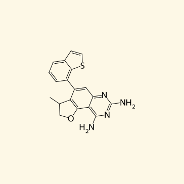 CC1COc2c1c(-c1cccc3ccsc13)cc1nc(N)nc(N)c21